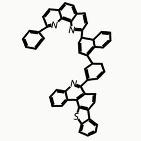 C1=CC2=C(C3C=C(c4nc5ccccc5c5c4ccc4c6ccccc6sc45)C=CC3)C=CC(c3ccc4ccc5ccc(-c6ccccc6)nc5c4n3)C2C=C1